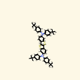 CC(C)(C)c1ccc(N(c2ccc(C(C)(C)C)cc2)c2ccc3c(c2)sc2c4ccc(N(c5ccc(C(C)(C)C)cc5)c5ccc(C(C)(C)C)cc5)cc4sc32)cc1